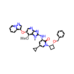 COc1c(Oc2cnn3ccccc23)cnc2nc(Nc3cc(C4CC4)cn([C@@H]4CC[C@H]4OCc4ccccc4)c3=O)n(C)c12